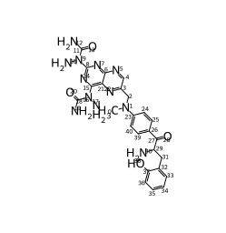 CN(Cc1cnc2nc(N(N)C(N)=O)nc(N(N)C(N)=O)c2n1)c1ccc(C(=O)C(N)Cc2ccccc2O)cc1